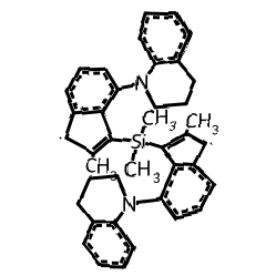 CC1=C([Si](C)(C)C2=C(C)[CH]c3cccc(N4CCCc5ccccc54)c32)c2c(cccc2N2CCCc3ccccc32)[CH]1